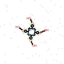 OCCCCOc1c(F)c(F)c(C2=C3C=CC(=N3)C(c3c(F)c(F)c(OCCCCO)c(F)c3F)=C3C=CC(=N3)C(c3c(F)c(F)c(OCCCCO)c(F)c3F)=C3C=CC(=N3)C(c3c(F)c(F)c(OCCCCO)c(F)c3F)=C3C=CC2=N3)c(F)c1F